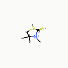 CN1C(=S)SCC1(C)C